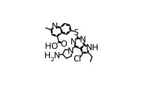 CCc1[nH]c2nc(Sc3ccc4nc(C)cc(C(=O)O)c4c3)nc(N3CCC(N)C3)c2c1Cl